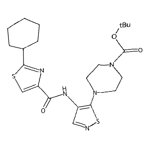 CC(C)(C)OC(=O)N1CCN(c2sncc2NC(=O)c2csc(C3CCCCC3)n2)CC1